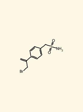 C=C(CBr)c1ccc(CS(N)(=O)=O)cc1